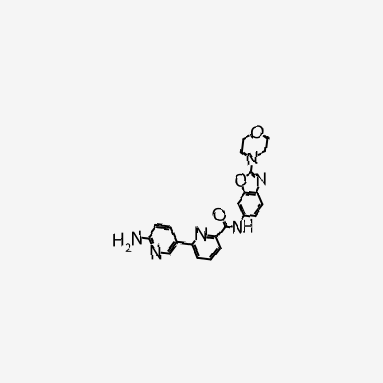 Nc1ccc(-c2cccc(C(=O)Nc3ccc4nc(N5CCOCC5)oc4c3)n2)cn1